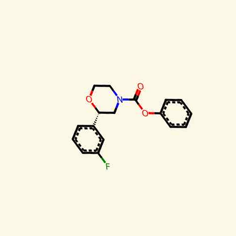 O=C(Oc1ccccc1)N1CCO[C@@H](c2cccc(F)c2)C1